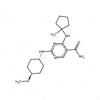 CO[C@H]1CC[C@H](Nc2ncc(C(N)=O)c(NC3(C)CCCC3)n2)CC1